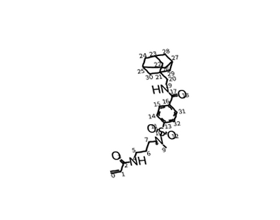 C=CC(=O)NCCCN(C)S(=O)(=O)c1ccc(C(=O)NCC23CC4CC(CC(C4)C2)C3)cc1